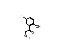 NCC(=O)c1cc(Cl)ccc1O